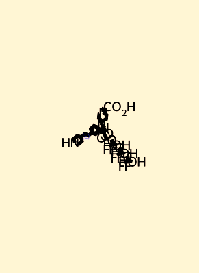 CS(=O)(=O)c1nn(C2CCN(CC(=O)O)CC2)c2ccc(/C=C/C3CCNCC3)cc12.O=C(O)C(F)(F)F.O=C(O)C(F)(F)F.O=C(O)C(F)(F)F